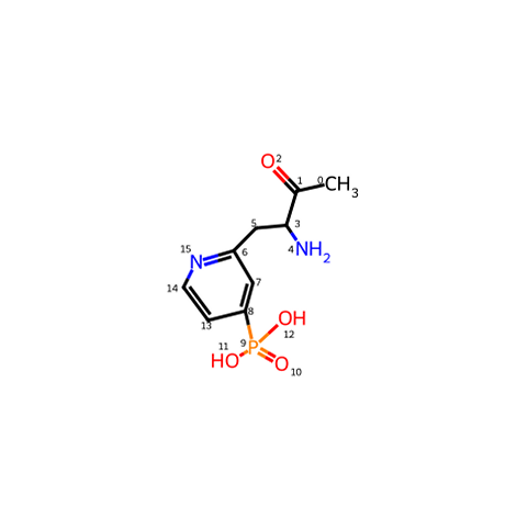 CC(=O)C(N)Cc1cc(P(=O)(O)O)ccn1